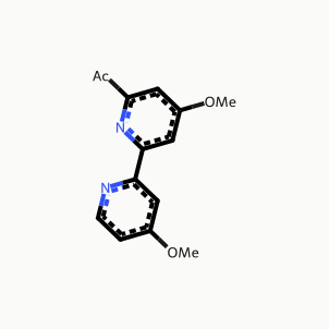 COc1ccnc(-c2cc(OC)cc(C(C)=O)n2)c1